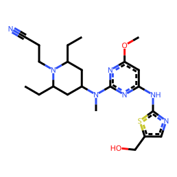 CCC1CC(N(C)c2nc(Nc3ncc(CO)s3)cc(OC)n2)CC(CC)N1CCC#N